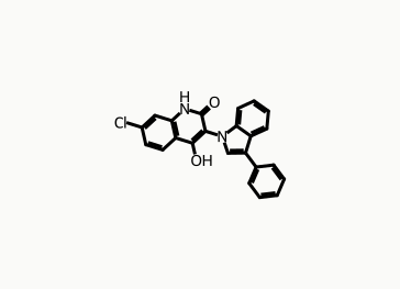 O=c1[nH]c2cc(Cl)ccc2c(O)c1-n1cc(-c2ccccc2)c2ccccc21